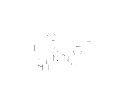 Cc1ccc(C(=O)N(CCCN)[C@@H](c2nc(-c3ccccc3)c(C)n2Cc2ccccc2)C(C)C)cc1